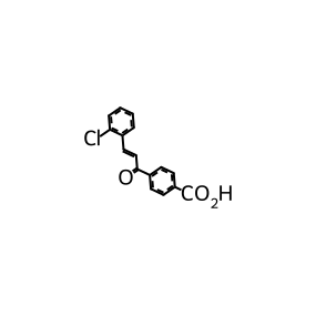 O=C(O)c1ccc(C(=O)C=Cc2ccccc2Cl)cc1